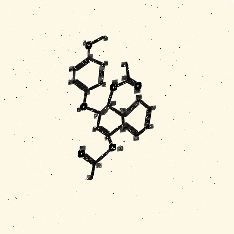 COc1ccc(Oc2cc(OC(C)=O)c3ccccc3c2OC(C)=O)cc1